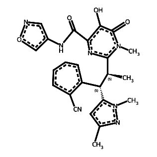 Cc1cc([C@H](c2ccccc2C#N)[C@H](C)c2nc(C(=O)Nc3cnoc3)c(O)c(=O)n2C)n(C)n1